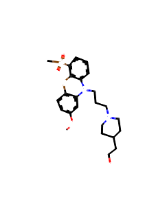 COc1ccc2c(c1)N(CCCN1CCC(CCO)CC1)c1cccc(S(C)(=O)=O)c1S2